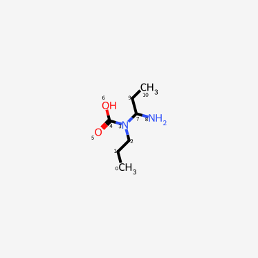 CCCN(C(=O)O)C(N)CC